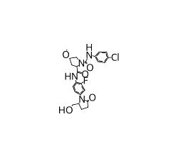 COC1CC(C(=O)Nc2ccc(N3C(=O)CCC3CO)cc2F)N(C(=O)Nc2ccc(Cl)cc2)C1